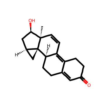 C[C@]12C=CC3=C4CCC(=O)C=C4CC[C@H]3[C@@]13C[C@H]3C[C@H]2O